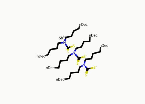 CCCCCCCCCCCCCCN(CCCCCCCCCCCCCC)C(=S)[S-].CCCCCCCCCCCCCCN(CCCCCCCCCCCCCC)C(=S)[S-].CCCCCCCCCCCCCCN(CCCCCCCCCCCCCC)C(=S)[S-].[Sb+3]